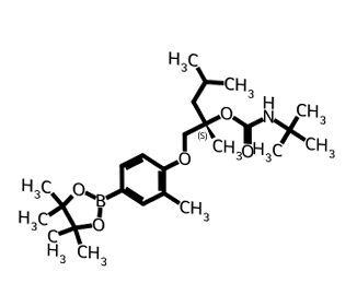 Cc1cc(B2OC(C)(C)C(C)(C)O2)ccc1OC[C@](C)(CC(C)C)OC(=O)NC(C)(C)C